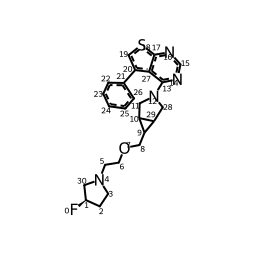 F[C@@H]1CCN(CCOCC2C3CN(c4ncnc5scc(-c6ccccc6)c45)CC23)C1